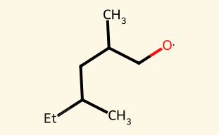 CCC(C)CC(C)C[O]